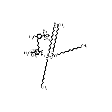 CCCCCCCCCCCCCOP(OCCCCCCCCCCCCC)OP(OCCCCCCCCCCCCC)OCCCCCCCCCCCCC.Cc1ccc(C(C)(C)C)cc1CCCCc1cc(C(C)(C)C)ccc1C